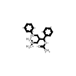 CC(=O)OC(c1ccccc1)C(COc1ccccc1)CN(C)C